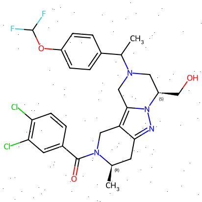 CC(c1ccc(OC(F)F)cc1)N1Cc2c3c(nn2[C@H](CO)C1)C[C@@H](C)N(C(=O)c1ccc(Cl)c(Cl)c1)C3